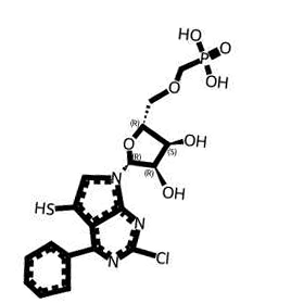 O=P(O)(O)COC[C@H]1O[C@@H](n2cc(S)c3c(-c4ccccc4)nc(Cl)nc32)[C@H](O)[C@@H]1O